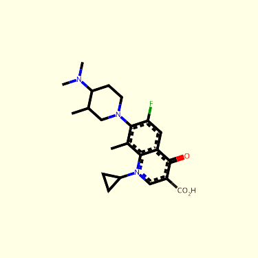 Cc1c(N2CCC(N(C)C)C(C)C2)c(F)cc2c(=O)c(C(=O)O)cn(C3CC3)c12